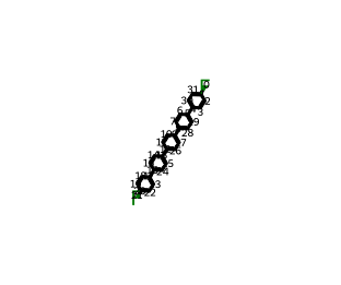 Fc1ccc(-c2ccc(-c3ccc(-c4ccc(-c5ccc(F)cc5)cc4)cc3)cc2)cc1